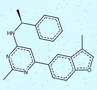 Cc1nc(N[C@@H](C)c2ccccc2)cc(-c2ccc3occ(C)c3c2)n1